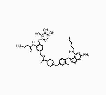 CCCCCNc1nc(N)nc2ccn(Cc3ccc(CN4CCN(C(=O)OCc5ccc(OC6OC[C@H](O)[C@@H](O)[C@@H]6O)c(NC(=O)CCN)c5)CC4)cc3C)c12